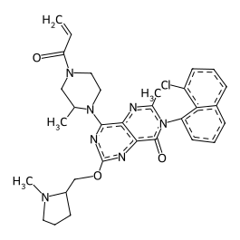 C=CC(=O)N1CCN(c2nc(OCC3CCCN3C)nc3c(=O)n(-c4cccc5cccc(Cl)c45)c(C)nc23)C(C)C1